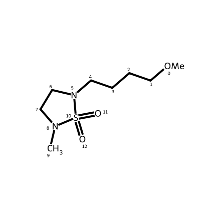 COCCCCN1CCN(C)S1(=O)=O